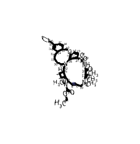 CCOC(=O)N(C)[C@@H]1/C=C/CN(C)C(C)(C)C(=O)NS(=O)(=O)c2ccc3c(c2)N(CCCCc2cc(Cl)ccc2CO3)C[C@@H]2CC[C@H]21